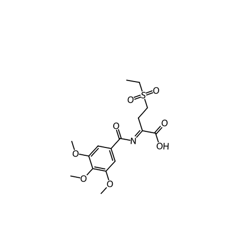 CCS(=O)(=O)CC/C(=N\C(=O)c1cc(OC)c(OC)c(OC)c1)C(=O)O